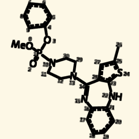 COP(=O)(Oc1ccccc1)N1CCN(C2=Nc3ccccc3Nc3sc(C)cc32)CC1